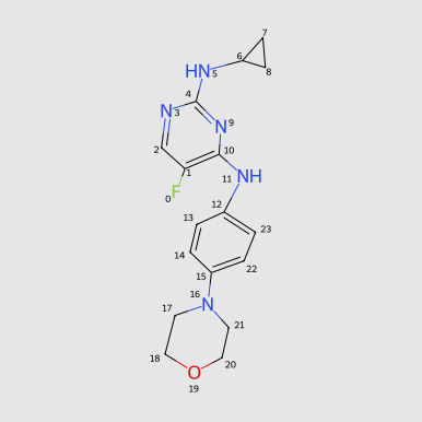 Fc1cnc(NC2CC2)nc1Nc1ccc(N2CCOCC2)cc1